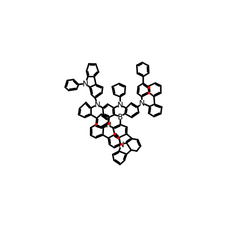 C1=Cc2c3n(c4cc5c(cc24)B2c4ccc(N(c6ccc(-c7ccccc7)cc6)c6ccccc6-c6ccccc6)cc4N(c4ccccc4)c4cc(N(c6ccc7c8ccccc8n(-c8ccccc8)c7c6)c6ccccc6-c6ccccc6)cc(c42)N5c2ccccc2-c2ccccc2)-c2ccccc2C3C1